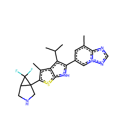 Cc1c(C23CNCC2C3(F)F)sc2[nH]c(-c3cc(C)c4ncnn4c3)c(C(C)C)c12